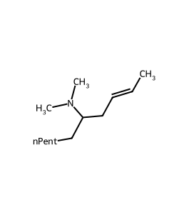 C/C=C/CC(CCCCCC)N(C)C